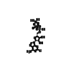 Nc1nc(Cl)nc2c1ncn2[C@@H]1O[C@H](CO[P@@](=O)(S)OP(=O)(O)OP(=O)(O)S)[C@@H](O)C1O